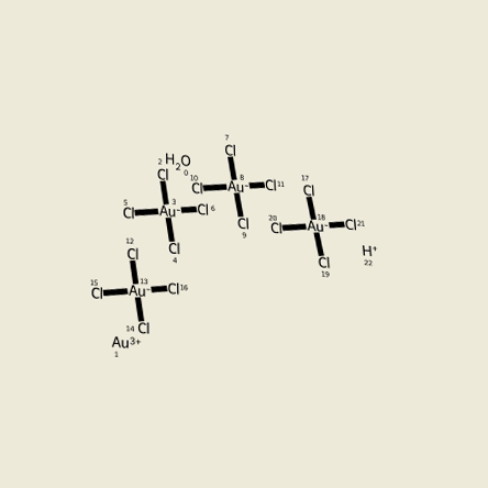 O.[Au+3].[Cl][Au-]([Cl])([Cl])[Cl].[Cl][Au-]([Cl])([Cl])[Cl].[Cl][Au-]([Cl])([Cl])[Cl].[Cl][Au-]([Cl])([Cl])[Cl].[H+]